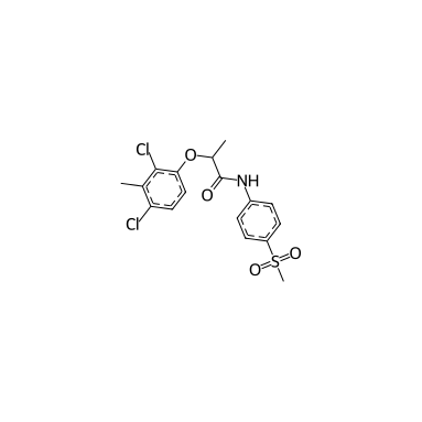 Cc1c(Cl)ccc(OC(C)C(=O)Nc2ccc(S(C)(=O)=O)cc2)c1Cl